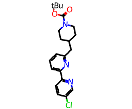 CC(C)(C)OC(=O)N1CCC(Cc2cccc(-c3ccc(Cl)cn3)n2)CC1